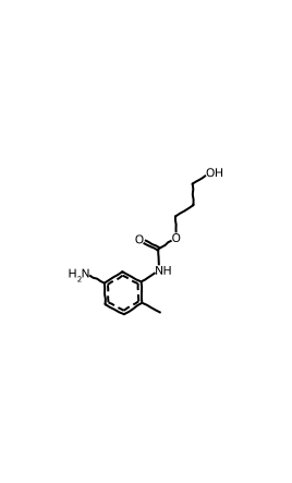 Cc1ccc(N)cc1NC(=O)OCCCO